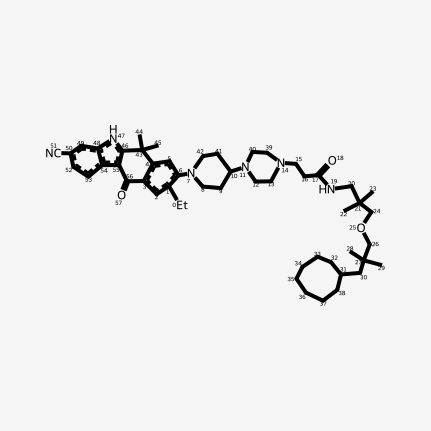 CCc1cc2c(cc1N1CCC(N3CCN(CCC(=O)NCC(C)(C)COCC(C)(C)CC4CCCCCCC4)CC3)CC1)C(C)(C)c1[nH]c3cc(C#N)ccc3c1C2=O